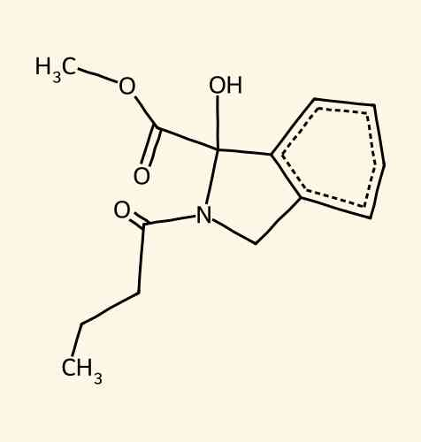 CCCC(=O)N1Cc2ccccc2C1(O)C(=O)OC